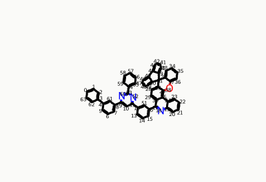 c1ccc(-c2cccc(-c3cc(-c4cccc(-c5nc6ccccc6c6c7c(ccc56)C5(c6ccccc6O7)c6ccccc6-c6ccccc65)c4)nc(-c4ccccc4)n3)c2)cc1